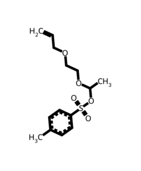 C=CCOCCOC(C)OS(=O)(=O)c1ccc(C)cc1